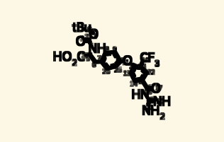 CC(C)(C)OC(=O)N[C@@H](Cc1ccc(Oc2ccc(C(=O)NC(=N)N)cc2C(F)(F)F)cc1)C(=O)O